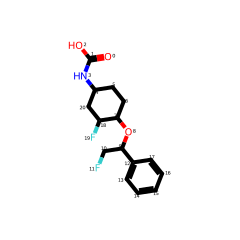 O=C(O)NC1CCC(OC(CF)c2ccccc2)C(F)C1